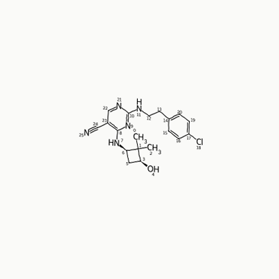 CC1(C)[C@@H](O)C[C@H]1Nc1nc(NCCc2ccc(Cl)cc2)ncc1C#N